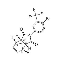 O=C1[C@@H]2[C@H](C(=O)N1c1ccc(Br)c(C(F)(F)F)c1)[C@@H]1C=C[C@H]2C1